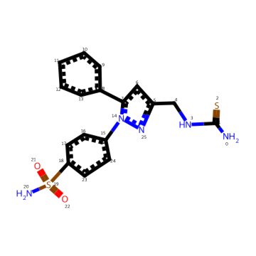 NC(=S)NCc1cc(-c2ccccc2)n(-c2ccc(S(N)(=O)=O)cc2)n1